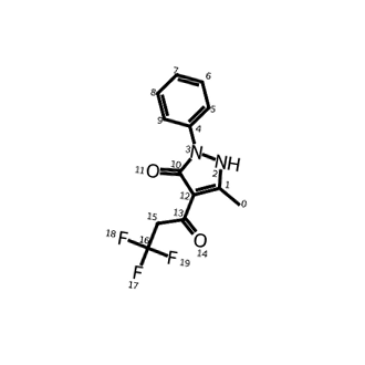 Cc1[nH]n(-c2ccccc2)c(=O)c1C(=O)CC(F)(F)F